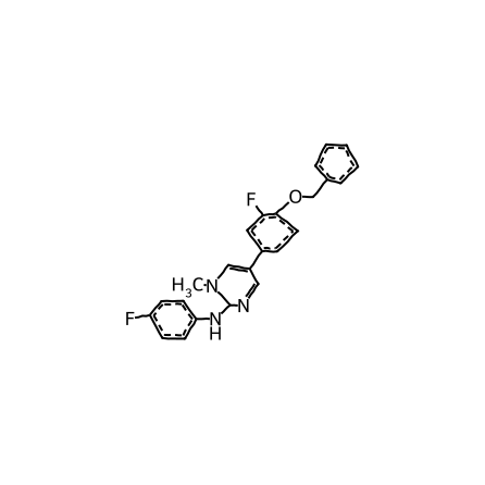 CN1C=C(c2ccc(OCc3ccccc3)c(F)c2)C=NC1Nc1ccc(F)cc1